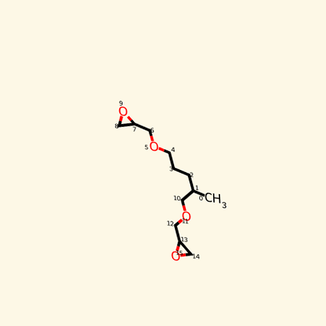 CC(CCCOCC1CO1)COCC1CO1